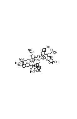 C[C@@H](O)[C@H](N)C(=O)N[C@@H](Cc1ccc(O)cc1)C(=O)N[C@@H](CCCNC(=N)N)C(=O)N[C@H](CCCCN)C(=O)N[C@@H](Cc1c[nH]c2ccccc12)C(=O)N[C@@H](Cc1ccc(O)cc1)C(=O)N[C@@H](CCC(=O)O)C(=O)N[C@@H](CC(=O)O)C(=O)O